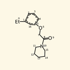 CCc1cccc(OCC(=O)N2CCCCC2)c1